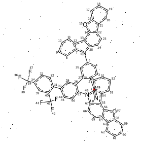 N#Cc1ccc(-n2c3ccccc3c3c4oc5ccccc5c4ccc32)cc1-c1cc(-c2ccc(C(F)(F)F)cc2C(F)(F)F)ccc1-n1c2ccccc2c2c3oc4ccccc4c3ccc21